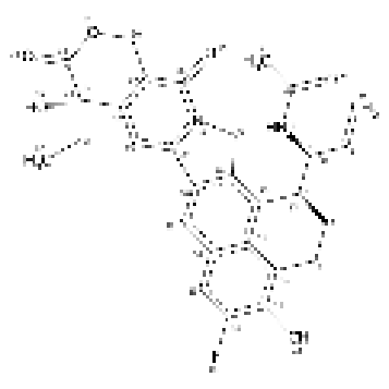 C=C[C@H](NC(C)=O)[C@H]1CCc2c(C)c(F)cc3nc4c(c1c23)Cn1c-4cc2c(c1=O)COC(=O)[C@]2(O)CC